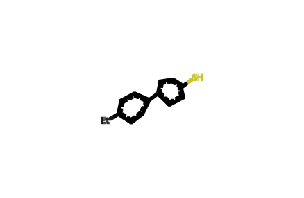 CCc1ccc(-c2ccc(S)cc2)cc1